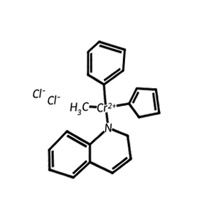 [CH3][Cr+2]([C]1=CC=CC1)([c]1ccccc1)[N]1CC=Cc2ccccc21.[Cl-].[Cl-]